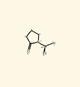 CC[C@H](C(C)=O)N1CCCC1=O